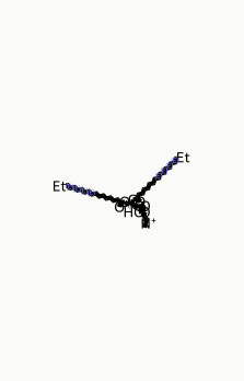 CC/C=C/C=C/C=C/C=C/CCCCCCCC(=O)OC[C@H](COP(=O)(O)OCC[N+](C)(C)C)OC(=O)CCCCCCC/C=C/C=C/C=C/C=C/CC